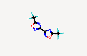 FC(F)(F)c1nc(-c2noc(C(F)(F)F)n2)no1